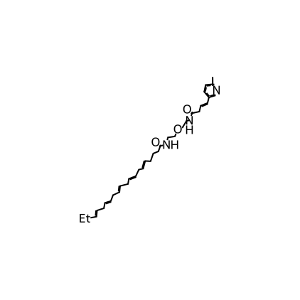 CCC=CCC=CCC=CCC=CCC=CCCCC(=O)NCCOCCNC(=O)CC=Cc1ccc(C)nc1